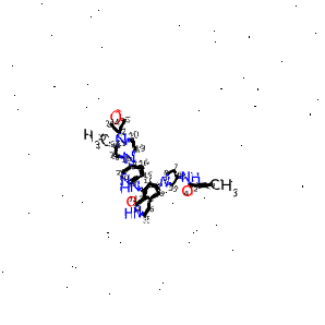 CC#CC(=O)NC1CCN(c2cc(Nc3ccc(N4CCN(C5COC5)[C@@H](C)C4)cn3)c3c(=O)[nH]ccc3c2)C1